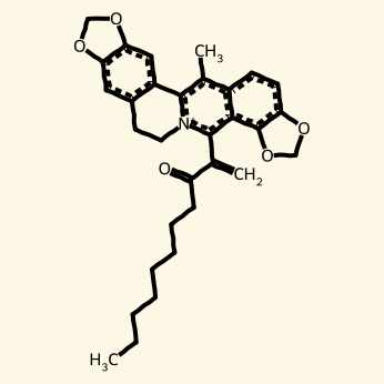 C=C(C(=O)CCCCCCCC)c1c2c3c(ccc2c(C)c2[n+]1CCc1cc4c(cc1-2)OCO4)OCO3